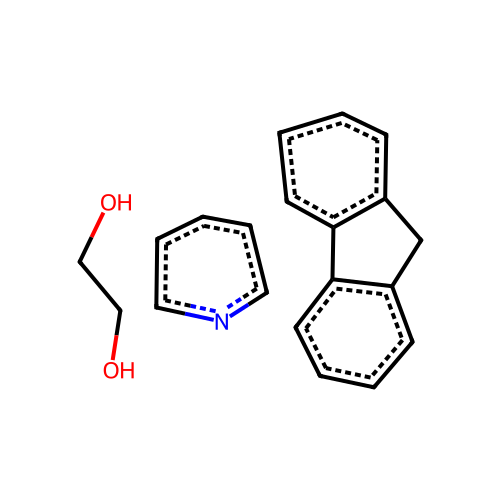 OCCO.c1ccc2c(c1)Cc1ccccc1-2.c1ccncc1